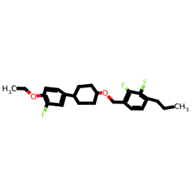 CCCc1ccc(COC2CCC(c3ccc(OCC)c(F)c3)CC2)c(F)c1F